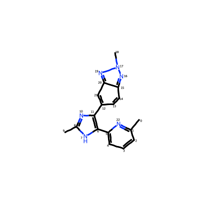 Cc1cccc(-c2[nH]c(C)nc2-c2ccc3nn(C)nc3c2)n1